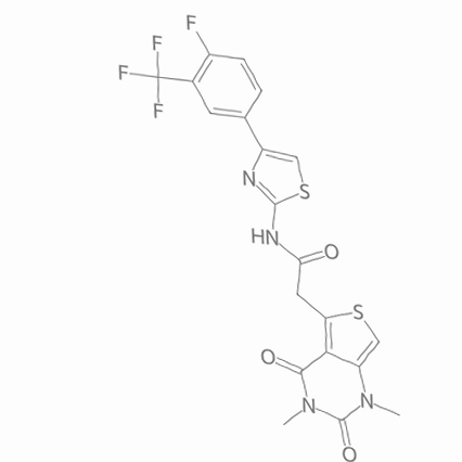 Cn1c(=O)c2c(CC(=O)Nc3nc(-c4ccc(F)c(C(F)(F)F)c4)cs3)scc2n(C)c1=O